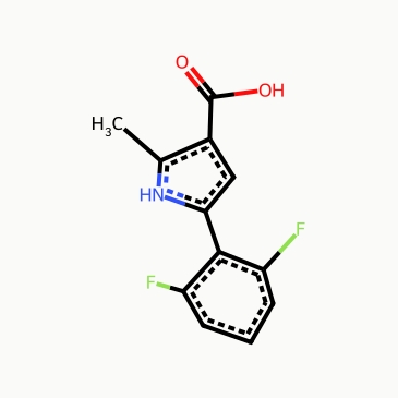 Cc1[nH]c(-c2c(F)cccc2F)cc1C(=O)O